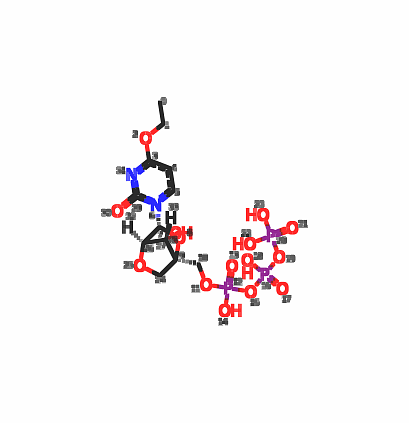 CCOc1ccn([C@@H]2O[C@@]3(COP(=O)(O)OP(=O)(O)OP(=O)(O)O)CO[C@@H]2[C@@H]3O)c(=O)n1